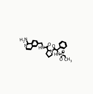 CCS(=O)(=O)NC(C(=O)N1CCCC1C(=O)NCc1ccc2c(N)nccc2c1)c1ccccc1